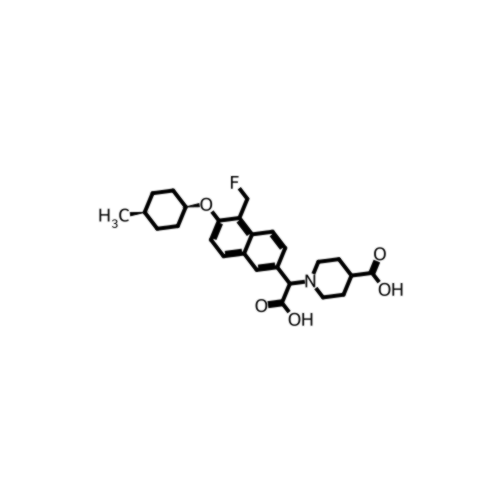 C[C@H]1CC[C@@H](Oc2ccc3cc(C(C(=O)O)N4CCC(C(=O)O)CC4)ccc3c2CF)CC1